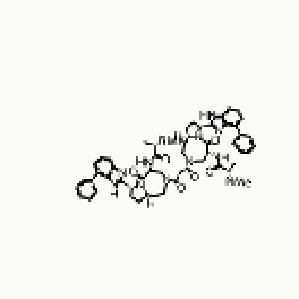 CN[C@@H](C)C(=O)N[C@H]1CN(C(=O)CC(=O)N2CC[C@H]3CC[C@@H](c4nc5cccc(-c6ccccc6)c5[nH]4)N3C(=O)[C@@H](NC(=O)[C@H](C)NC)C2)CC[C@H]2CC[C@@H](c3nc4c(-c5ccccc5)cccc4[nH]3)N2C1=O